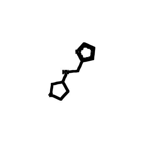 c1csc(CNC2CC[N]C2)c1